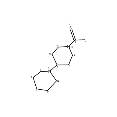 CC(=S)N1CCC(N2CCCCC2)CC1